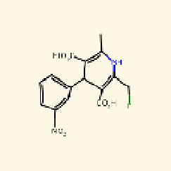 CCOC(=O)C1=C(C)NC(CF)=C(C(=O)O)C1c1cccc([N+](=O)[O-])c1